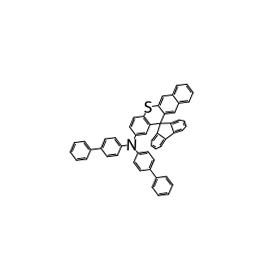 c1ccc(-c2ccc(N(c3ccc(-c4ccccc4)cc3)c3ccc4c(c3)C3(c5cc6ccccc6cc5S4)c4ccccc4-c4ccccc43)cc2)cc1